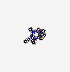 c1ccc(-c2ccc3c(c2)c2ccccc2n3-c2ccc(-c3nc(-c4ccccc4)nc(-c4ccccc4)n3)cc2-c2cc(-c3ccccc3)nc(-c3cccc(-c4ccc5c6c4N(c4ccccc4)c4ccccc4B6c4ccccc4N5c4ccccc4)c3)n2)cc1